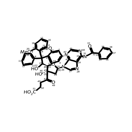 COc1ccccc1C(c1ccccc1)(c1ccccc1OC)C(O)[C@H]1O[C@@H](n2cnc3c(NC(=O)c4ccccc4)ncnc32)C[C@@]1(O)C(=O)CCC(=O)O